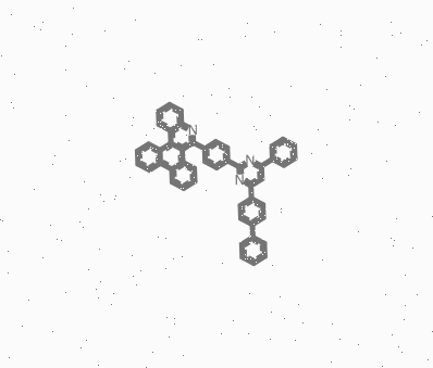 c1ccc(-c2ccc(-c3cc(-c4ccccc4)nc(-c4ccc(-c5nc6ccccc6c6c7ccccc7c7ccccc7c56)cc4)n3)cc2)cc1